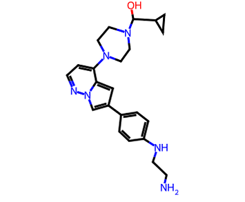 NCCNc1ccc(-c2cc3c(N4CCN(C(O)C5CC5)CC4)ccnn3c2)cc1